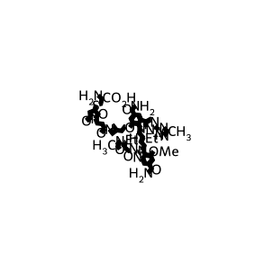 CCc1nc(C)oc1C(=O)Nc1nc2cc(C(N)=O)cc(OC)c2n1C/C=C/Cn1c2nc(-c3nc(C)nn3CC)ncc2c2cc(C(N)=O)cc(OCCC3CN(C(=O)CCN4C(=O)CC(SC[C@H](N)C(=O)O)C4=O)C3)c21